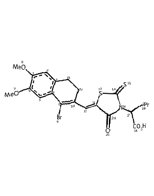 COc1cc2c(cc1OC)C(Br)=C(C=C1SC(=S)N(C(C(=O)O)C(C)C)C1=O)CC2